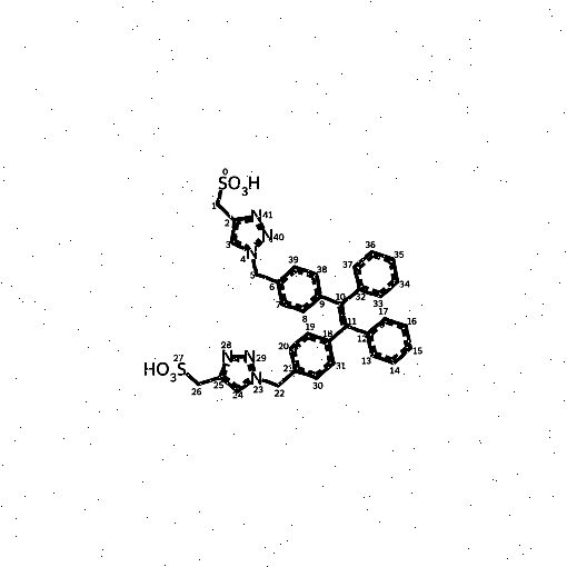 O=S(=O)(O)Cc1cn(Cc2ccc(C(=C(c3ccccc3)c3ccc(Cn4cc(CS(=O)(=O)O)nn4)cc3)c3ccccc3)cc2)nn1